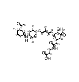 CC(=O)O[C@@H](C)/C=C\C(=O)N[C@@H]1C[C@H](C)[C@H](C/C=C(C)/C=C/[C@H]2O[C@H](CC(=O)NCCC(=O)O)C[C@@]3(CO3)[C@@H]2O)O[C@@H]1C